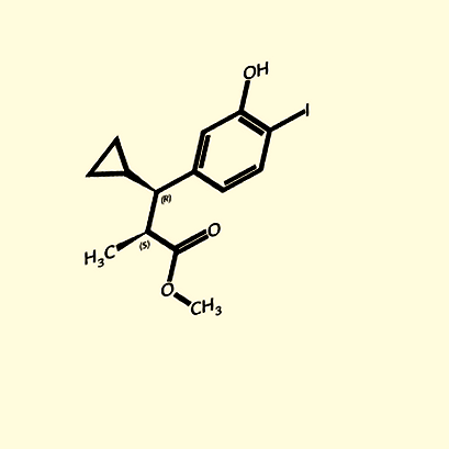 COC(=O)[C@@H](C)[C@H](c1ccc(I)c(O)c1)C1CC1